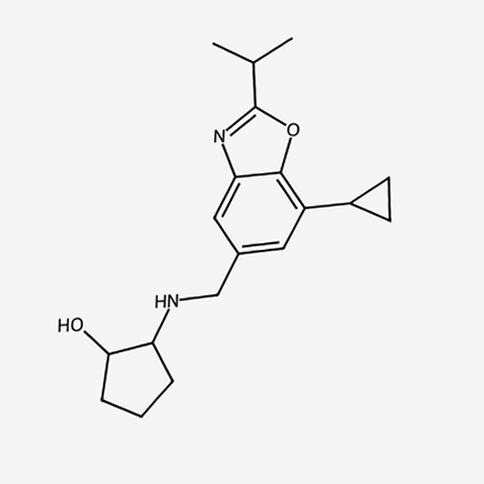 CC(C)c1nc2cc(CNC3CCCC3O)cc(C3CC3)c2o1